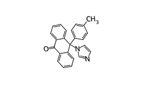 Cc1ccc(C2(n3ccnc3)c3ccccc3C(=O)c3ccccc32)cc1